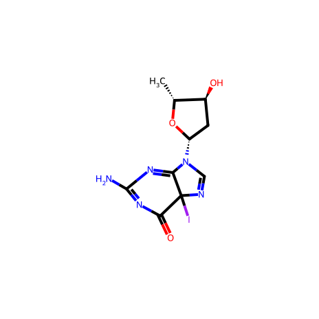 C[C@H]1O[C@@H](N2C=NC3(I)C(=O)N=C(N)N=C23)C[C@@H]1O